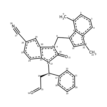 Cc1cccc2c1c(Cn1c(=O)n([C@H](CC=O)c3ccccc3)c3ccc(C#N)cc31)cn2C